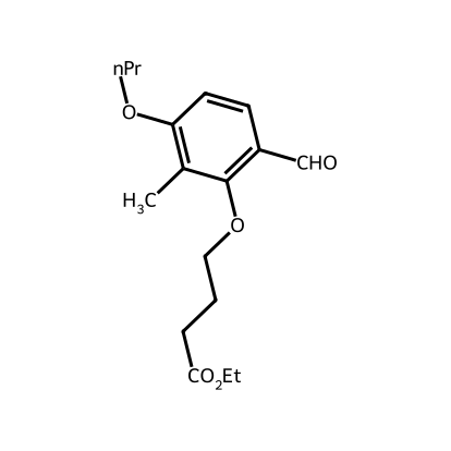 CCCOc1ccc(C=O)c(OCCCC(=O)OCC)c1C